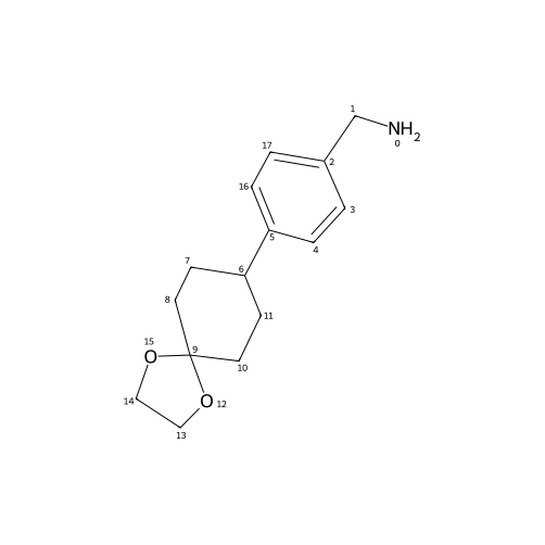 NCc1ccc(C2CCC3(CC2)OCCO3)cc1